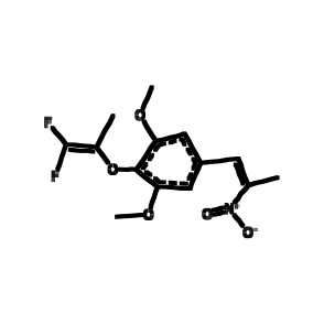 COc1cc(C=C(C)[N+](=O)[O-])cc(OC)c1OC(C)=C(F)F